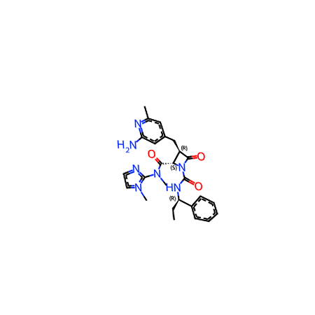 CC[C@@H](NC(=O)N1C(=O)[C@H](Cc2cc(C)nc(N)c2)[C@H]1C(=O)N(C)c1nccn1C)c1ccccc1